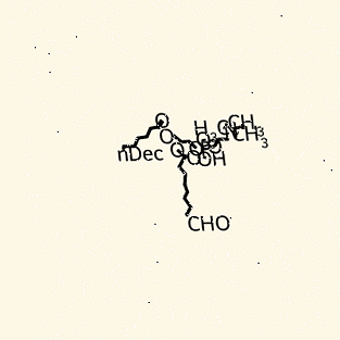 CCCCCCCCCCCCCCCC(=O)OCC(COP(=O)(O)OCC[N+](C)(C)C)OC(=O)CCCCCCCC=O